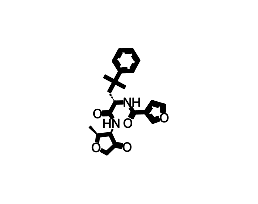 C[C@@H]1OCC(=O)[C@H]1NC(=O)[C@H](CC(C)(C)c1ccccc1)NC(=O)c1ccoc1